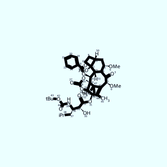 CO[C@H]1C(=O)C2[C@@H](OC)C[C@H]3CC[C@@]3(OC(C)=O)[C@H]2[C@H](OC(=O)c2ccccc2)[C@]23OC(=O)O[C@H]2[C@H](OC(=O)[C@H](O)[C@H](CC(C)C)NC(=O)OC(C)(C)C)C(C)=C1C3(C)C